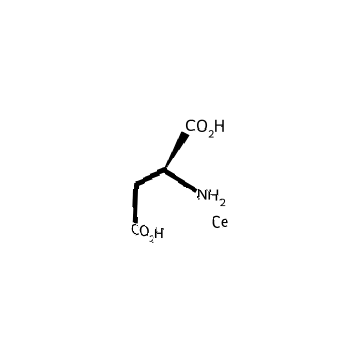 N[C@@H](CC(=O)O)C(=O)O.[Ce]